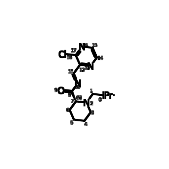 C[C](C)CN1CCCC[C@H]1C(=O)N=Cc1nccnc1Cl